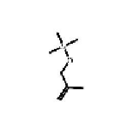 C=C(C)CO[Si](C)(C)C